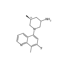 Cc1c(F)cc(N2CC(N)C[C@H](C)C2)c2cccnc12